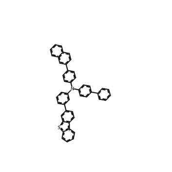 c1ccc(-c2ccc(N(c3ccc(-c4ccc5ccccc5c4)cc3)c3cccc(-c4ccc5c(c4)sc4ccccc45)c3)cc2)cc1